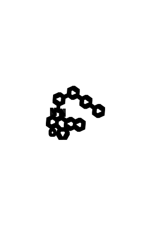 c1ccc(-c2ccc(-c3cccc(-c4cccc(-c5nc(-c6ccc7ccccc7c6)c6c(ccc7oc8ccccc8c76)n5)c4)c3)cc2)cc1